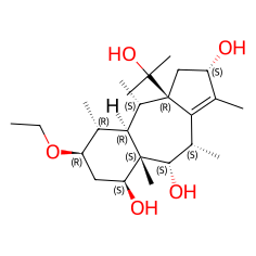 CCO[C@@H]1C[C@H](O)[C@]2(C)[C@@H]([C@H]1C)[C@H](C)[C@]1(C(C)(C)O)C[C@H](O)C(C)=C1[C@H](C)[C@@H]2O